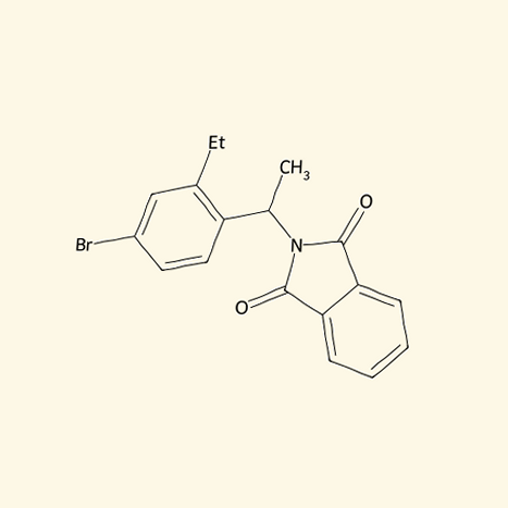 CCc1cc(Br)ccc1C(C)N1C(=O)c2ccccc2C1=O